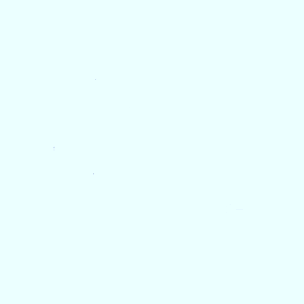 CCC1CC=C2CCCCC2C1